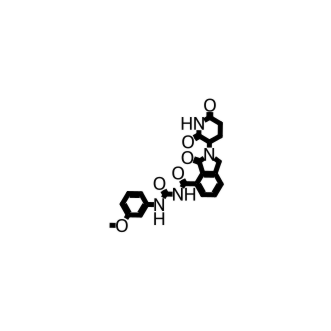 COc1cccc(NC(=O)NC(=O)c2cccc3c2C(=O)N(C2CCC(=O)NC2=O)C3)c1